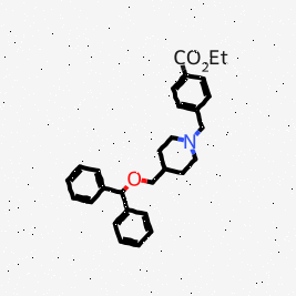 CCOC(=O)c1ccc(CN2CCC(COC(c3ccccc3)c3ccccc3)CC2)cc1